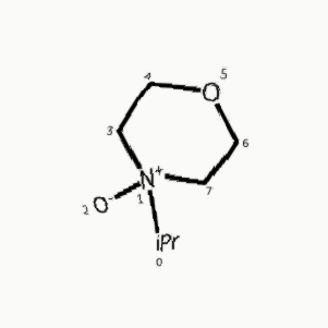 CC(C)[N+]1([O-])CCOCC1